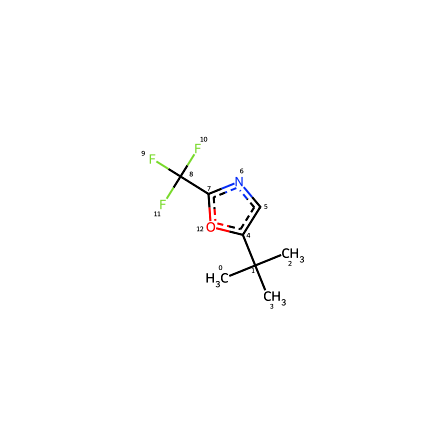 CC(C)(C)c1cnc(C(F)(F)F)o1